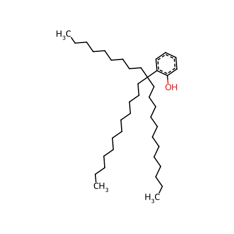 CCCCCCCCCCCCC(CCCCCCCCC)(CCCCCCCCCCCC)c1ccccc1O